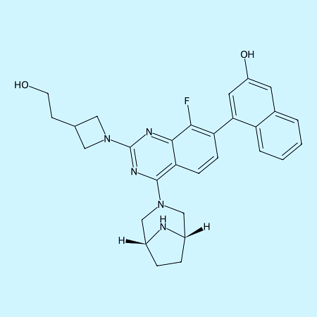 OCCC1CN(c2nc(N3C[C@H]4CC[C@@H](C3)N4)c3ccc(-c4cc(O)cc5ccccc45)c(F)c3n2)C1